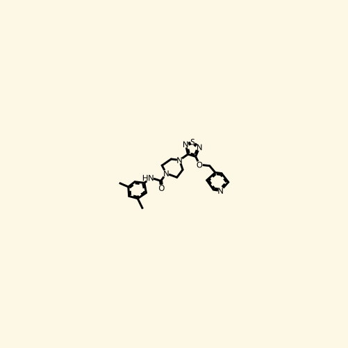 Cc1cc(C)cc(NC(=O)N2CCN(c3nsnc3OCc3ccncc3)CC2)c1